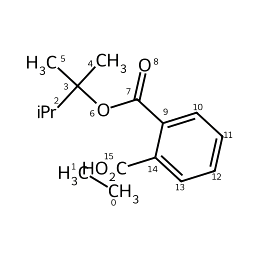 CC.CC(C)C(C)(C)OC(=O)c1ccccc1C(=O)O